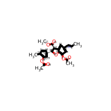 C/C=C/c1cc(OC(C)=O)c2c(c1)[C@H](C(=O)OC)[C@@H](c1ccc(C)c(OC(C)=O)c1)O2